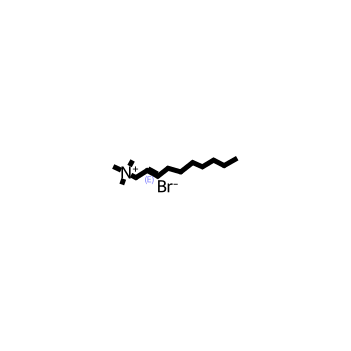 CCCCCCC/C=C/C[N+](C)(C)C.[Br-]